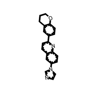 c1cn(-c2ccc3nc(-c4ccc5c(c4)CCCO5)ccc3c2)cn1